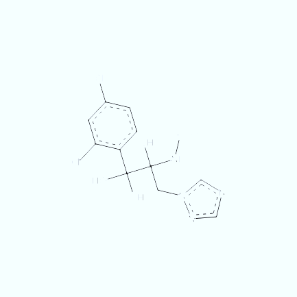 CC(Cn1cncn1)(NC=O)C(C)(O)c1ccc(Cl)cc1Cl